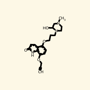 C#CCOc1ccc(OCCCN2CCN(C)CC2O)c2ccc(=O)[nH]c12